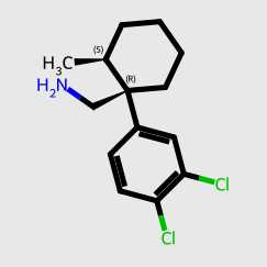 C[C@H]1CCCC[C@]1(CN)c1ccc(Cl)c(Cl)c1